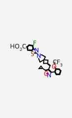 O=C(O)c1cc(F)c2nc(N3CCC4(CC3)CC(=Cc3c(-c5ccccc5OC(F)(F)F)noc3C3CC3)C4)sc2c1